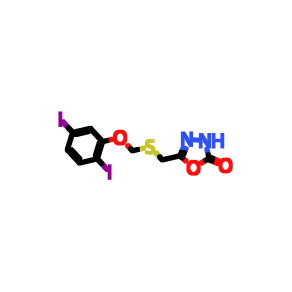 O=c1[nH]nc(CSCOc2cc(I)ccc2I)o1